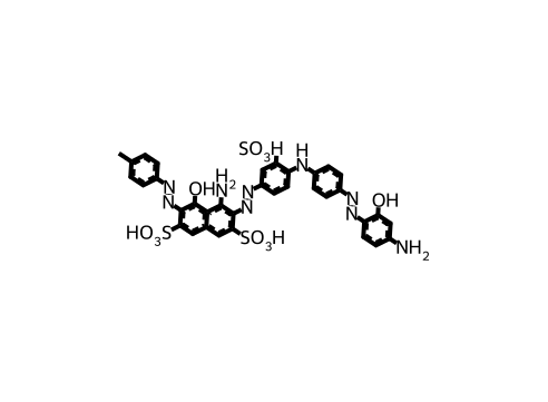 Cc1ccc(N=Nc2c(S(=O)(=O)O)cc3cc(S(=O)(=O)O)c(N=Nc4ccc(Nc5ccc(N=Nc6ccc(N)cc6O)cc5)c(S(=O)(=O)O)c4)c(N)c3c2O)cc1